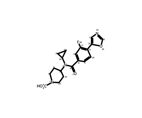 O=C(O)N1CCC(N(C(=O)c2ccc(-c3cnco3)c(F)c2)C2CC2)CC1